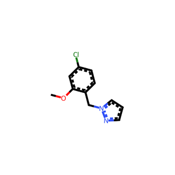 COc1cc(Cl)ccc1Cn1cccn1